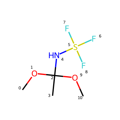 COC(C)(NS(F)(F)F)OC